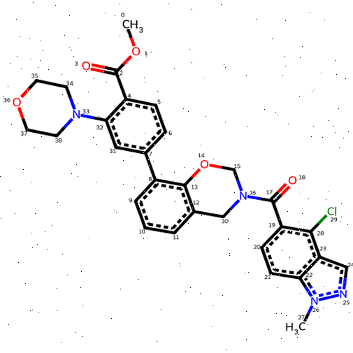 COC(=O)c1ccc(-c2cccc3c2OCN(C(=O)c2ccc4c(cnn4C)c2Cl)C3)cc1N1CCOCC1